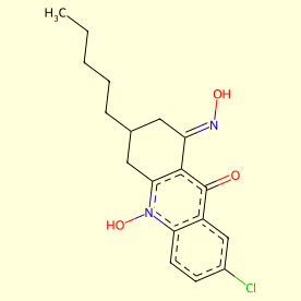 CCCCCC1C/C(=N\O)c2c(n(O)c3ccc(Cl)cc3c2=O)C1